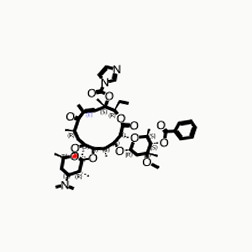 CC[C@H]1OC(=O)[C@H](C)[C@@H](O[C@H]2C[C@@](C)(OC)[C@@H](OC(=O)c3ccccc3)[C@H](C)O2)[C@H](C)[C@@H](O[C@@H]2O[C@H](C)C[C@H](N(C)C)[C@H]2C)[C@@](C)(OC)C[C@@H](C)C(=O)/C(C)=C/[C@]1(C)OC(=O)n1ccnc1